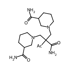 CC(=O)C(CN1CCCC(C(N)=O)C1)(CN1CCCC(C(N)=O)C1)C(N)=O